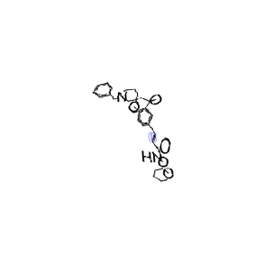 O=C(/C=C/c1ccc2c(c1)C(=O)CC1(CCCN(Cc3ccccc3)C1)O2)NOC1CCCCO1